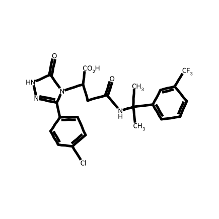 CC(C)(NC(=O)CC(C(=O)O)n1c(-c2ccc(Cl)cc2)n[nH]c1=O)c1cccc(C(F)(F)F)c1